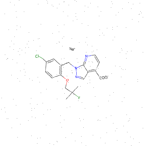 CC(C)(F)COc1ccc(Cl)cc1Cn1ncc2c(C(=O)[O-])ccnc21.[Na+]